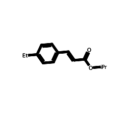 CCc1ccc(/C=C/C(=O)OC(C)C)cc1